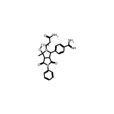 CC1(OC(=O)O)C2C(=O)N(c3ccccc3)C(=O)C2C(c2ccc(C(=N)N)cc2)N1CCC(N)=O